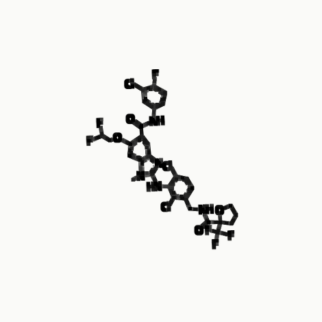 Cn1c(Nc2c(Cl)ccc(CNC(=O)C3(C(F)(F)F)CCCO3)c2Cl)nc2cc(C(=O)Nc3ccc(F)c(Cl)c3)c(OCC(F)F)cc21